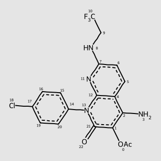 CC(=O)Oc1c(N)c2ccc(NCC(F)(F)F)nc2n(-c2ccc(Cl)cc2)c1=O